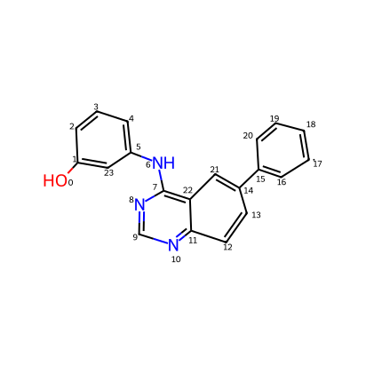 Oc1cccc(Nc2ncnc3ccc(-c4c[c]ccc4)cc23)c1